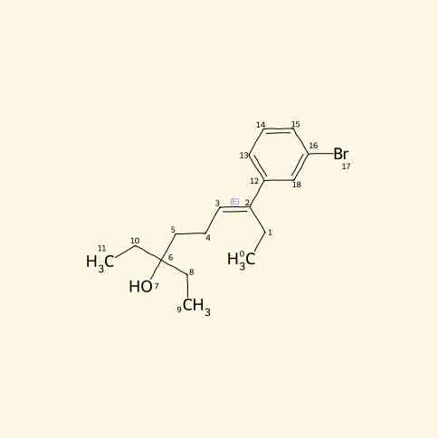 CC/C(=C\CCC(O)(CC)CC)c1cccc(Br)c1